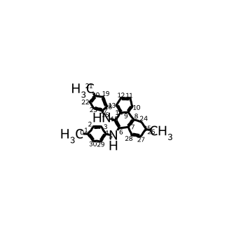 Cc1ccc(Nc2c3c(c4ccccc4c2Nc2ccc(C)cc2)CC(C)C=C3)cc1